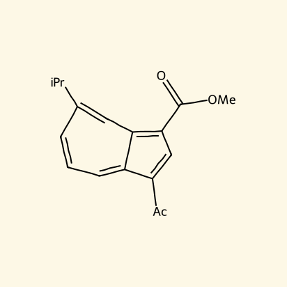 COC(=O)c1cc(C(C)=O)c2cccc(C(C)C)cc1-2